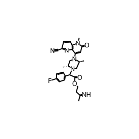 CC(=N)CCOC(=O)C(c1ccc(F)cc1)N1C[C@H](C)N(c2cc(=O)n(C)c3ccc(C#N)nc23)C[C@H]1C